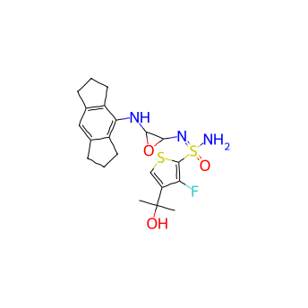 CC(C)(O)c1csc(S(N)(=O)=NC2OC2Nc2c3c(cc4c2CCC4)CCC3)c1F